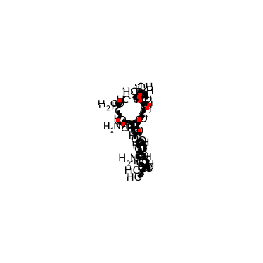 C=C1C[C@@H]2CC[C@]34O[C@H]5[C@H]6O[C@H](CC[C@@H]6OC6[C@H]5OC(O)([C@H]3O)[C@H]6O4)CC(=O)O[C@@H]3CC4OC5C[C@]6(C[C@@H]7O[C@@]8(CC[C@@H]7O6)C[C@H](N)[C@@H]6O[C@@H]7[C@@H]([C@@H](O)CO)CO[C@@H]7C[C@@H]6O8)O[C@@H]5C[C@@H]4O[C@H]3C[C@H]3O[C@@H](CC[C@@H]1O2)C[C@@H](N)C3=C